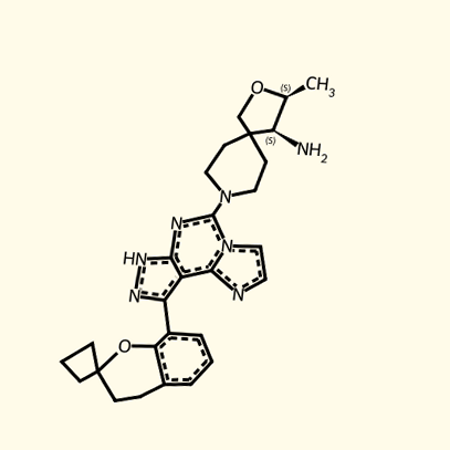 C[C@@H]1OCC2(CCN(c3nc4[nH]nc(-c5cccc6c5OC5(CCC5)CC6)c4c4nccn34)CC2)[C@@H]1N